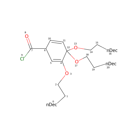 CCCCCCCCCCCCOC1=CC(C(=O)Cl)C=CC1(OCCCCCCCCCCCC)OCCCCCCCCCCCC